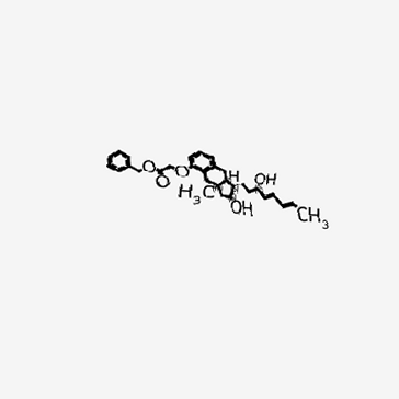 CCCCC[C@@H](O)CC[C@@H]1[C@@H](O)C[C@@]2(C)Cc3c(cccc3OCC(=O)OCc3ccccc3)C[C@@H]12